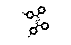 Fc1ccc(C(SSC(c2ccccc2)c2ccc(F)cc2)c2ccccc2)cc1